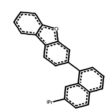 CC(C)c1ccc2cccc(-c3ccc4c(c3)oc3ccccc34)c2c1